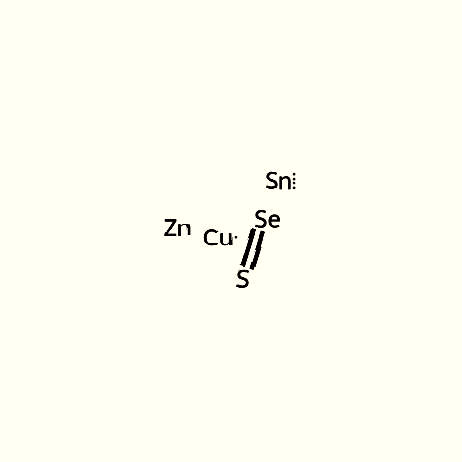 S=[Se].[Cu].[Sn].[Zn]